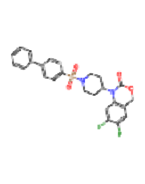 O=C1OCc2cc(F)c(F)cc2N1C1CCN(S(=O)(=O)c2ccc(-c3ccccc3)cc2)CC1